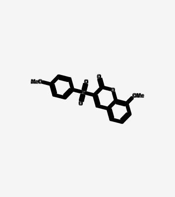 COc1ccc(S(=O)(=O)c2cc3cccc(OC)c3oc2=O)cc1